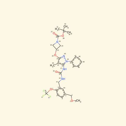 COCc1ccc(OC(F)(F)F)c(CNC(=O)Nc2c(C)c(OC3CN(C(=O)OC(C)(C)C)C3)nn2-c2ccccc2)c1